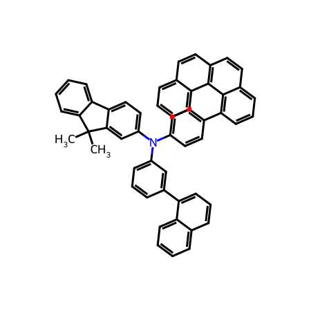 CC1(C)c2ccccc2-c2ccc(N(c3ccc(-c4cccc5ccc6ccc7ccccc7c6c45)cc3)c3cccc(-c4cccc5ccccc45)c3)cc21